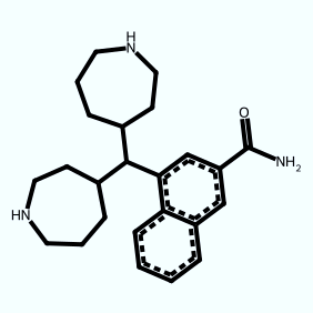 NC(=O)c1cc(C(C2CCCNCC2)C2CCCNCC2)c2ccccc2c1